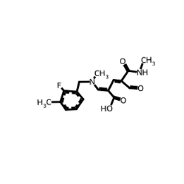 CNC(=O)/C(C=O)=C/C(=C\N(C)Cc1cccc(C)c1F)C(=O)O